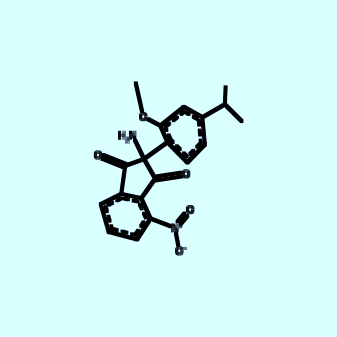 COc1cc(C(C)C)ccc1C1(N)C(=O)c2cccc([N+](=O)[O-])c2C1=O